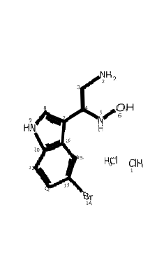 Cl.Cl.NCC(NO)c1c[nH]c2ccc(Br)cc12